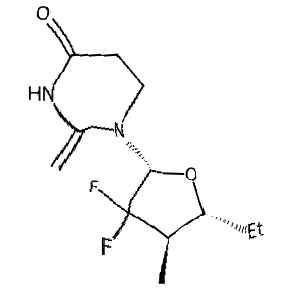 C=C1NC(=O)CCN1[C@@H]1O[C@H](CC)[C@@H](C)C1(F)F